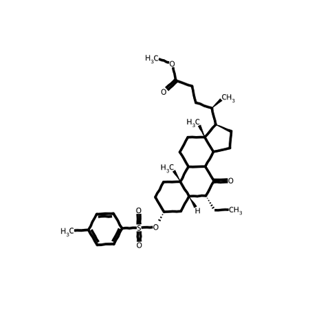 CC[C@H]1C(=O)C2C3CC[C@H]([C@H](C)CCC(=O)OC)[C@@]3(C)CCC2[C@@]2(C)CC[C@@H](OS(=O)(=O)c3ccc(C)cc3)C[C@@H]12